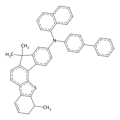 CC1CC=Cc2c1sc1c3c(ccc21)C(C)(C)c1cc(N(c2ccc(-c4ccccc4)cc2)c2cccc4ccccc24)ccc1-3